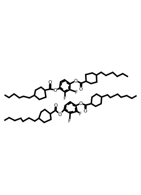 CCCCCCC1CCC(C(=O)Oc2ccc(OC(=O)C3CCC(CCCCCC)CC3)c(F)c2F)CC1.CCCCCCCC1CCC(C(=O)Oc2ccc(OC(=O)C3CCC(CCCCCCC)CC3)c(F)c2F)CC1